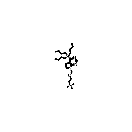 CCC[CH2][Sn]([CH2]CCC)([CH2]CCC)[c]1ncnc2c1ccn2COCC[Si](C)(C)C